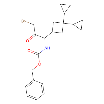 O=C(N[C@H](C(=O)CBr)C1CC(C2CC2)(C2CC2)C1)OCc1ccccc1